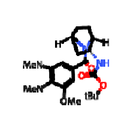 CNc1cc(C(=O)N2[C@H]3CC[C@@H]2[C@H](NC(=O)OC(C)(C)C)C3)cc(OC)c1NC